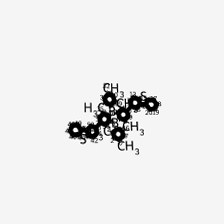 Cc1cc(C)c(B2c3ccc(-c4ccc5sc6ccccc6c5c4)cc3B(c3c(C)cc(C)cc3C)c3ccc(-c4ccc5sc6ccccc6c5c4)cc32)c(C)c1